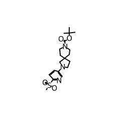 CC(C)(C)OC(=O)N1CCC2(CC1)CCN(c1ccc(S(C)(=O)=O)nc1)C2